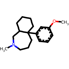 COc1cccc(C23CCCCC2CN(C)CCC3)c1